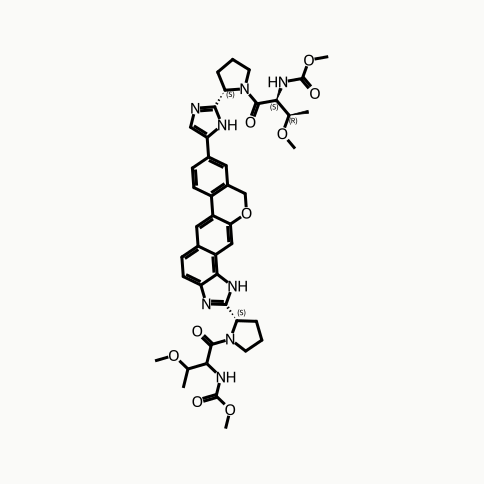 COC(=O)NC(C(=O)N1CCC[C@H]1c1nc2ccc3cc4c(cc3c2[nH]1)OCc1cc(-c2cnc([C@@H]3CCCN3C(=O)[C@@H](NC(=O)OC)[C@@H](C)OC)[nH]2)ccc1-4)C(C)OC